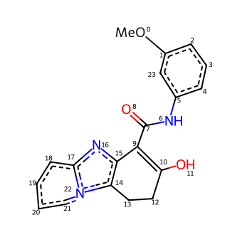 COc1cccc(NC(=O)C2=C(O)CCc3c2nc2ccccn32)c1